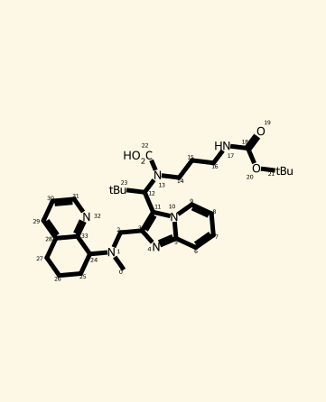 CN(Cc1nc2ccccn2c1C(N(CCCNC(=O)OC(C)(C)C)C(=O)O)C(C)(C)C)C1CCCc2cccnc21